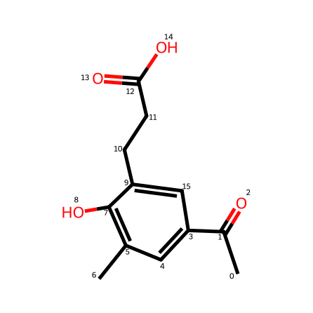 CC(=O)c1cc(C)c(O)c(CCC(=O)O)c1